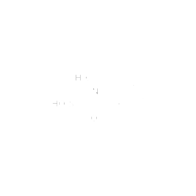 CN(C(=O)S(=O)(=O)O)C1CC2CCC1C2